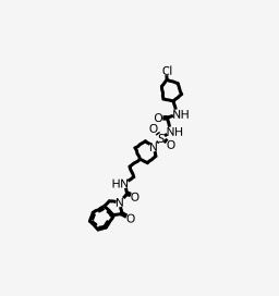 O=C(NC1CCC(Cl)CC1)NS(=O)(=O)N1CCC(CCNC(=O)N2Cc3ccccc3C2=O)CC1